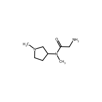 CN1CCC(N(C)C(=O)CN)C1